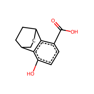 O=C(O)c1ccc(O)c2c1C1CCC2CC1